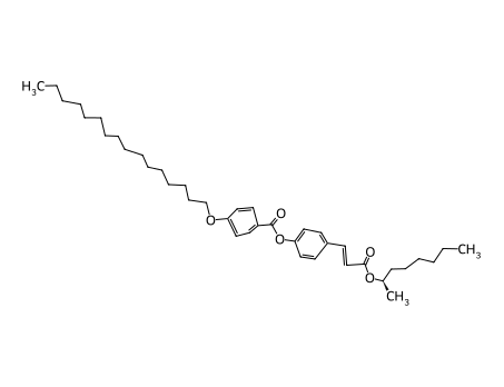 CCCCCCCCCCCCCCCCOc1ccc(C(=O)Oc2ccc(C=CC(=O)O[C@H](C)CCCCCC)cc2)cc1